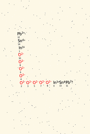 [In+3].[In+3].[O-2].[O-2].[O-2].[O-2].[O-2].[O-2].[O-2].[O-2].[O-2].[Pb+2].[Pb+2].[Sn+4].[Sn+4]